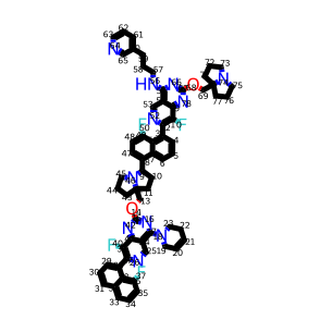 Fc1c(-c2cccc3c(C4CCC5(COc6nc(N7CC=CCC7)c7cnc(-c8cccc9cccc(F)c89)c(F)c7n6)CCCN45)ccc(F)c23)ncc2c(NCCCc3cccnc3)nc(OCC34CCCN3CCC4)nc12